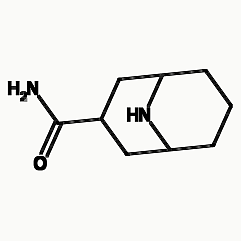 NC(=O)C1CC2CCCC(C1)N2